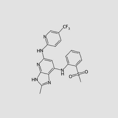 Cc1nc2c(Nc3ccccc3S(C)(=O)=O)cc(Nc3ccc(C(F)(F)F)cn3)nc2[nH]1